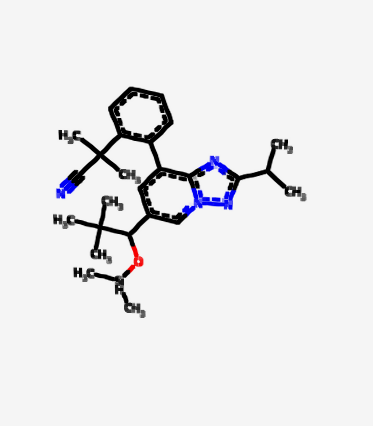 CC(C)c1nc2c(-c3ccccc3C(C)(C)C#N)cc(C(O[SiH](C)C)C(C)(C)C)cn2n1